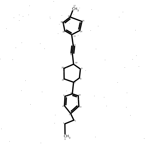 CCCc1ccc(C2CCC(C#Cc3ccc(C)cc3)CC2)cc1